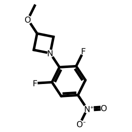 COC1CN(c2c(F)cc([N+](=O)[O-])cc2F)C1